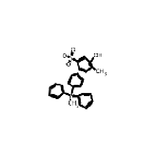 C[P+](c1ccccc1)(c1ccccc1)c1ccccc1.Cc1ccc(S(=O)(=O)[O-])cc1O